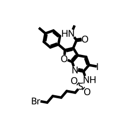 CNC(=O)c1c(-c2ccc(C)cc2)oc2nc(NS(=O)(=O)CCCCCBr)c(I)cc12